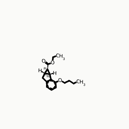 CCCCOc1cccc2c1[C@@H]1[C@H](C2)[C@H]1C(=O)OCC